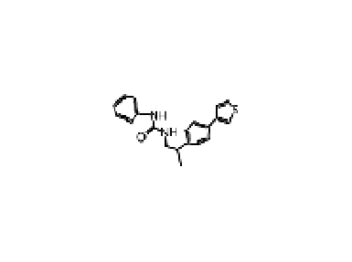 CC(CNC(=O)Nc1ccccc1)c1ccc(-c2ccsc2)cc1